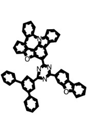 c1ccc(-c2cc(-c3ccccc3)cc(-c3nc(-c4ccc5c(c4)oc4ccccc45)nc(-c4cc5c6ccccc6n6c7ccccc7c7cccc8oc4c(c87)c56)n3)c2)cc1